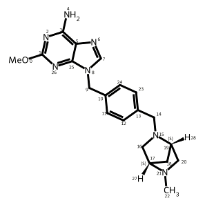 COc1nc(N)c2ncn(Cc3ccc(CN4C[C@@H]5C[C@H]4CN5C)cc3)c2n1